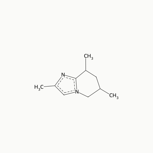 Cc1cn2c(n1)C(C)CC(C)C2